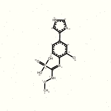 CONC(=Nc1ccc(-c2c[nH]cn2)cc1Cl)P(=O)(O)O